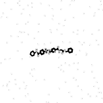 O=C(CNC(=O)c1ccc(C(=O)NS(=O)(=O)c2ccc(C(=O)NC3CCCCC3)cc2)cn1)OCc1ccccc1